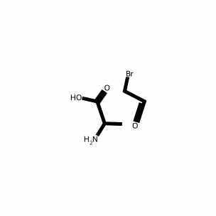 CC(N)C(=O)O.O=CCBr